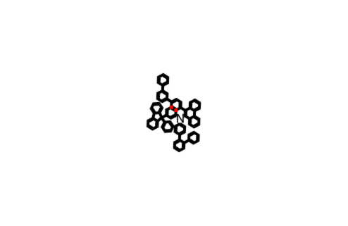 c1ccc(-c2cccc(-c3ccc(-c4c(N(c5ccc(-c6ccccc6-c6ccccc6)cc5)c5cccc(C6(c7ccccc7)c7ccccc7-c7ccccc76)c5)c5ccccc5c5ccccc45)cc3)c2)cc1